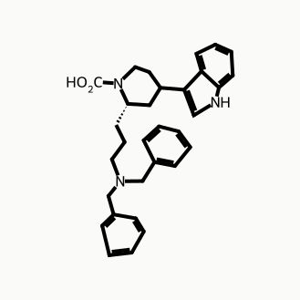 O=C(O)N1CCC(c2c[nH]c3ccccc23)C[C@@H]1CCCN(Cc1ccccc1)Cc1ccccc1